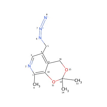 Cc1ncc(CN=[N+]=[N-])c2c1OC(C)(C)OC2